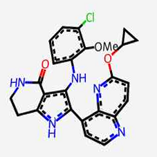 COc1c(Cl)cccc1Nc1c(-c2ccnc3ccc(OC4CC4)nc23)[nH]c2c1C(=O)NCC2